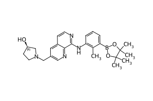 Cc1c(Nc2nccc3cc(CN4CC[C@@H](O)C4)cnc23)cccc1B1OC(C)(C)C(C)(C)O1